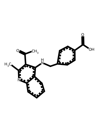 CC(=O)c1c(C)nc2ccccc2c1NCc1ccc(C(=O)O)cc1